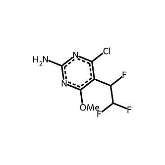 COc1nc(N)nc(Cl)c1C(F)C(F)F